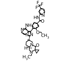 CCOc1cc(C(=O)Nc2cc(C(F)(F)F)ccn2)ccc1-c1nc([C@@H]2CC[C@H]3CN(CC)C4(CC4)C(=O)N3C2)n2ccnc(N)c12